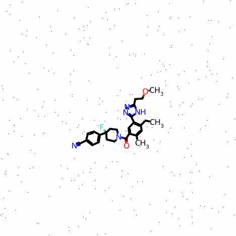 CCc1cc(C)c(C(=O)N2CCC(F)(c3ccc(C#N)cc3)CC2)cc1-c1nnc(CCOC)[nH]1